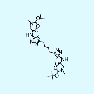 CN(CC(=O)Nc1nnc(CCCCc2nnc(NC(=O)CN(C)C(=O)OC(C)(C)C)s2)s1)C(=O)OC(C)(C)C